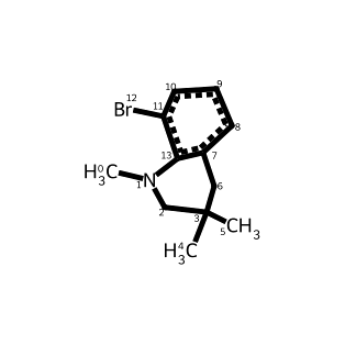 CN1CC(C)(C)Cc2cccc(Br)c21